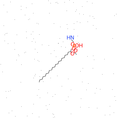 CCCCCCCCCCCCCCCCCCCCC(COP(O)OCCNC)OC(C)=O